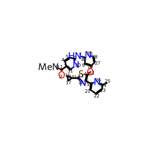 CNC(=O)c1ccc(Nc2cc(Oc3sc(C4CC4)nc3-c3cccc(C)n3)ccn2)nc1